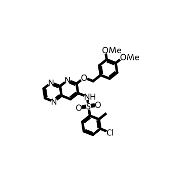 COc1ccc(COc2nc3nccnc3cc2NS(=O)(=O)c2cccc(Cl)c2C)cc1OC